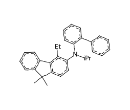 CCc1c(N(c2ccccc2-c2ccccc2)C(C)C)ccc2c1-c1ccccc1C2(C)C